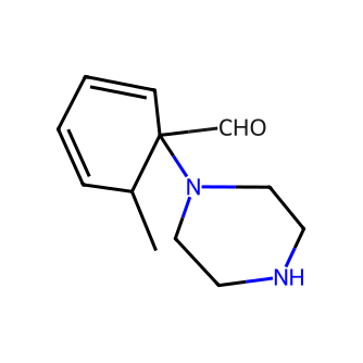 CC1C=CC=CC1(C=O)N1CCNCC1